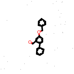 O=Cc1cc(OCc2ccccc2)ccc1-c1ccccc1